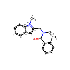 Cc1ccccc1C(=O)N(C)Cc1cc2ccccc2n1C